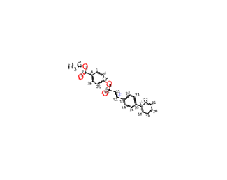 COC(=O)c1ccc(OC(=O)/C=C/c2ccc(-c3ccccc3)cc2)cc1